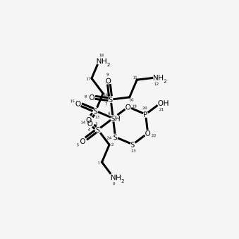 NCCS(=O)(=O)[SH]1(S(=O)(=O)CCN)(S(=O)(=O)CCN)OP(O)OSS1